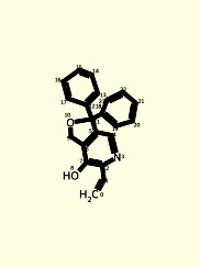 C=Cc1ncc2c(c1O)COC2(c1ccccc1)c1ccccc1